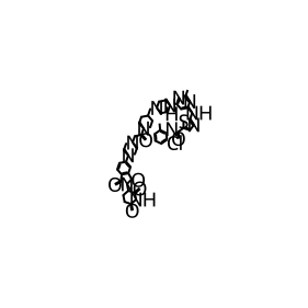 Cc1nc(Nc2ncc(C(=O)Nc3c(C)cccc3Cl)s2)cc(N2CCN(CC3CCN(C(=O)CN4CCN(c5ccc6c(c5)C(=O)N(C5CCC(=O)NC5=O)C6=O)CC4)CC3)CC2)n1